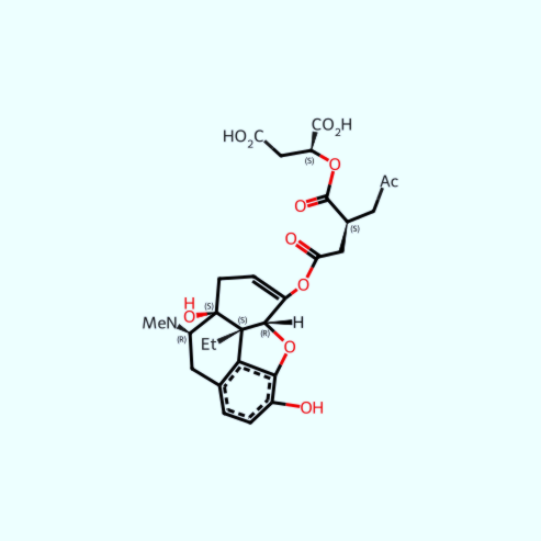 CC[C@]12c3c4ccc(O)c3O[C@H]1C(OC(=O)C[C@H](CC(C)=O)C(=O)O[C@@H](CC(=O)O)C(=O)O)=CC[C@@]2(O)[C@H](NC)C4